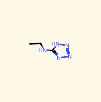 CCNc1nnn[nH]1